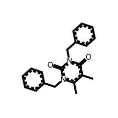 Cc1c(C)n(Cc2ccccc2)c(=O)n(Cc2ccccc2)c1=O